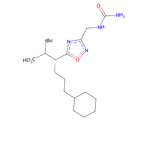 CC(C)(C)C(C(=O)O)[C@@H](CCCC1CCCCC1)c1nc(CNC(N)=O)no1